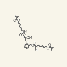 C=C(C)C(=O)OCCCCCNC(=O)OCc1ccccc1OCC(O)COC(=O)NCCCCCOC(=O)C(=C)C